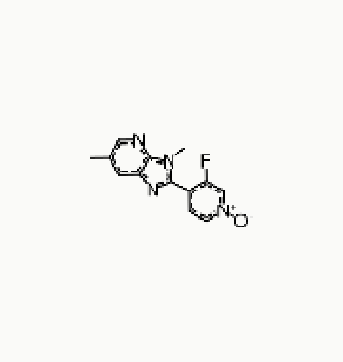 Cc1cnc2c(c1)nc(-c1cc[n+]([O-])cc1F)n2C